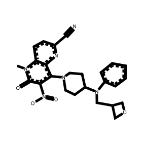 Cn1c(=O)c([N+](=O)[O-])c(N2CCC(N(CC3COC3)c3ccccc3)CC2)c2nc(C#N)ccc21